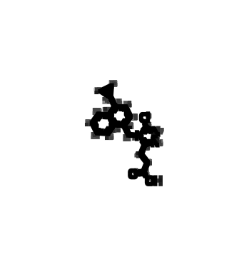 O=C(O)CCc1nnc(Cl)n1Cc1ccc(C2CC2)c2ccccc12